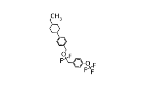 CCC1CCC(c2ccc(COC(F)(F)Cc3ccc(OC(F)(F)F)cc3)cc2)CC1